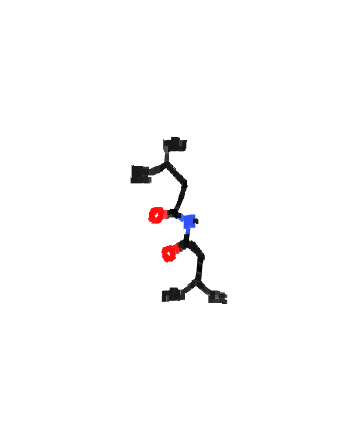 CCCCC(CC)CC(=O)[N]C(=O)CC(CC)CCCC